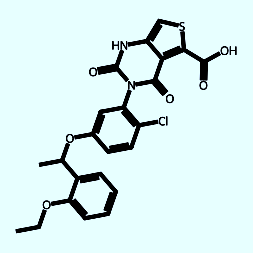 CCOc1ccccc1C(C)Oc1ccc(Cl)c(-n2c(=O)[nH]c3csc(C(=O)O)c3c2=O)c1